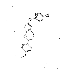 CCc1ccc(C2CCc3cc(Oc4ccc(Cl)cn4)ccc3O2)cc1